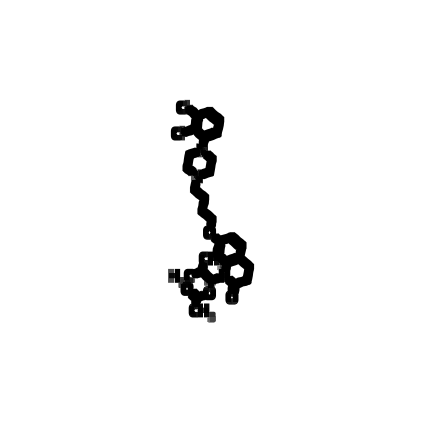 CC(=O)O[C@H](C(C)C)N1C(=O)CCc2ccc(OCCCCN3CCN(c4cccc(Cl)c4Cl)CC3)cc21